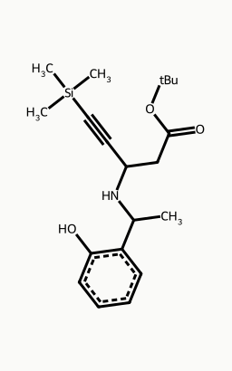 CC(NC(C#C[Si](C)(C)C)CC(=O)OC(C)(C)C)c1ccccc1O